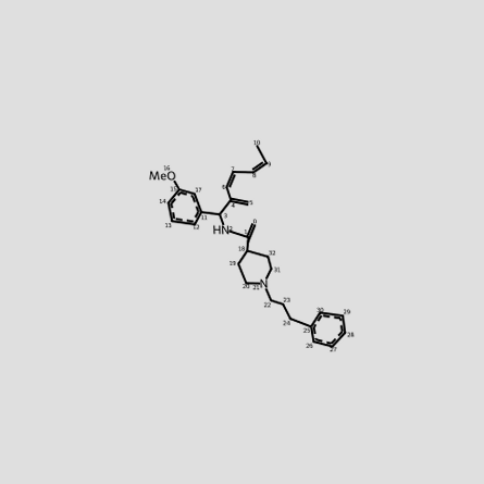 C=C(NC(C(=C)/C=C\C=C/C)c1cccc(OC)c1)C1CCN(CCCc2ccccc2)CC1